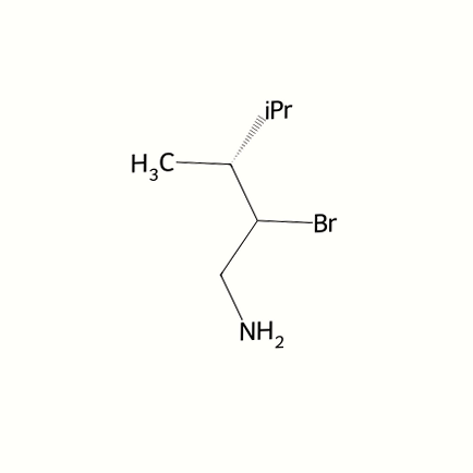 CC(C)[C@@H](C)C(Br)CN